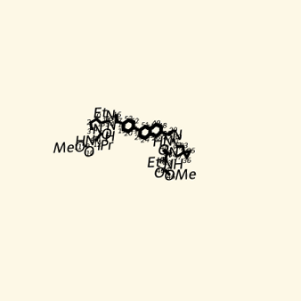 CCC1CCN(C(=O)[C@@H](NC(=O)OC)C(C)C)C1c1ncc(-c2ccc(-c3ccc4cc(-c5cnc([C@@H]6CC7(CC7)CN6C(=O)[C@H](CC)NC(=O)OC)[nH]5)ccc4c3)cc2)[nH]1